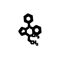 CCC(C)C1=CC=CC1P(c1ccccc1)c1ccccc1